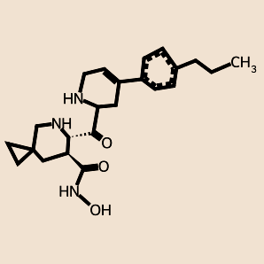 CCCc1ccc(C2=CCNC(C(=O)[C@H]3NCC4(CC4)C[C@@H]3C(=O)NO)C2)cc1